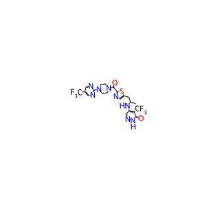 CC(Cc1cnc(C(=O)N2CCN(c3ncc(C(F)(F)F)cn3)CC2)s1)Nc1cn[nH]c(=O)c1C(F)(F)F